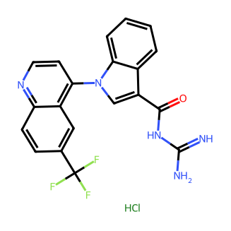 Cl.N=C(N)NC(=O)c1cn(-c2ccnc3ccc(C(F)(F)F)cc23)c2ccccc12